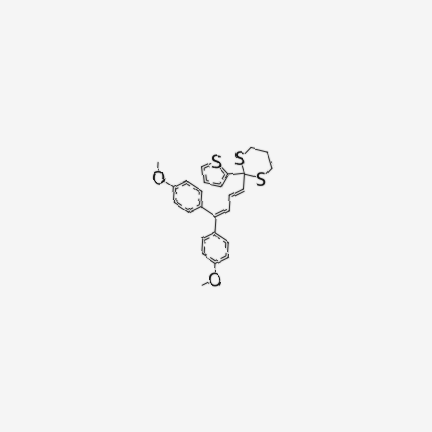 COc1ccc(C(=CC=CC2(c3cccs3)SCCCS2)c2ccc(OC)cc2)cc1